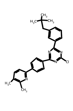 Cc1ccc(-c2ccc(-c3nc(Cl)nc(-c4cccc(CC(C)(C)C)c4)n3)cc2)nc1C